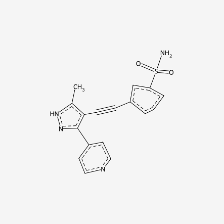 Cc1[nH]nc(-c2ccncc2)c1C#Cc1cccc(S(N)(=O)=O)c1